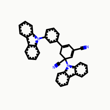 N#CC1=CC(C#N)(n2c3ccccc3c3ccccc32)CC(c2cccc(-n3c4ccccc4c4ccccc43)c2)=C1